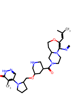 C=NC1=C(/C=C(\C)C(F)(F)F)OCCC2CN(C(=O)C3CNCC(OCC4CCCN4c4cn[nH]c(=O)c4C(F)(F)F)C3)CCN12